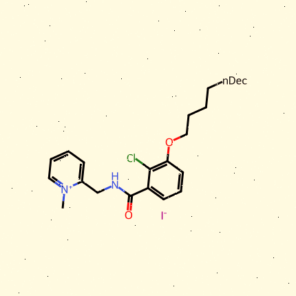 CCCCCCCCCCCCCCOc1cccc(C(=O)NCc2cccc[n+]2C)c1Cl.[I-]